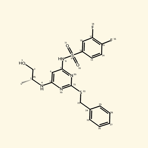 C[C@H](CO)Nc1cc(NS(=O)(=O)c2ccc(F)c(F)c2)nc(SCc2ccccc2)n1